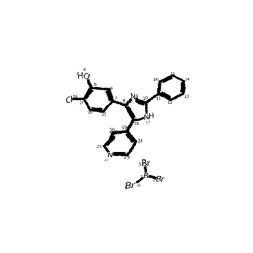 BrB(Br)Br.Oc1cc(-c2nc(-c3ccccc3)[nH]c2-c2ccncc2)ccc1Cl